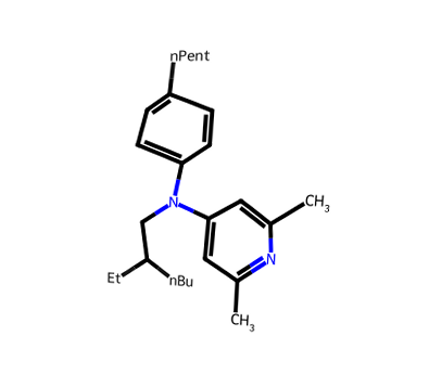 CCCCCc1ccc(N(CC(CC)CCCC)c2cc(C)nc(C)c2)cc1